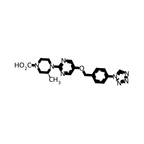 C[C@@H]1CN(C(=O)O)CCN1c1ncc(OCc2ccc(-n3cnnn3)cc2)cn1